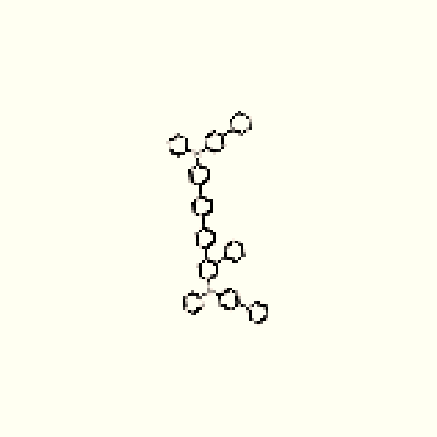 C1=C(c2ccc(N(c3ccccc3)c3ccc(-c4ccc(-c5ccc(-c6ccc(N(c7ccccc7)c7ccc(-c8ccccc8)cc7)cc6-c6ccccc6)cc5)cc4)cc3)cc2)CCCC1